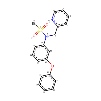 CCS(=O)(=O)N(Cc1ccccn1)c1cccc(Oc2ccccc2)c1